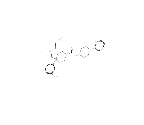 CC(C)CCN(C)CC1(c2cccc(C(F)(F)F)c2)CCN(C(=O)CN2CCN(c3cnccn3)CC2)CC1